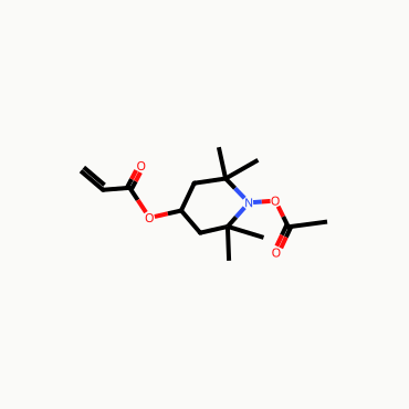 C=CC(=O)OC1CC(C)(C)N(OC(C)=O)C(C)(C)C1